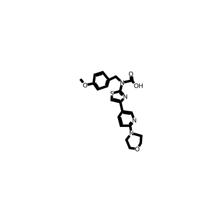 COc1ccc(CN(C(=O)O)c2nc(-c3ccc(N4CCOCC4)nc3)cs2)cc1